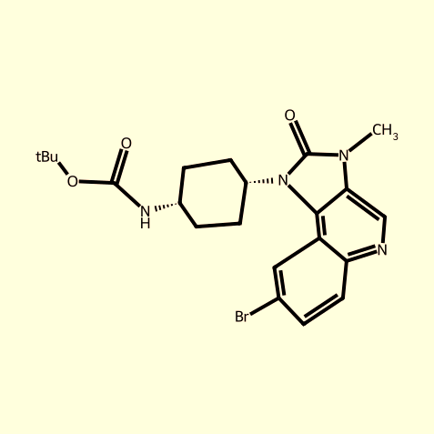 Cn1c(=O)n([C@H]2CC[C@@H](NC(=O)OC(C)(C)C)CC2)c2c3cc(Br)ccc3ncc21